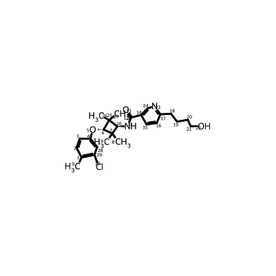 Cc1ccc(O[C@H]2C(C)(C)[C@H](NC(=O)c3ccc(CCCCO)nc3)C2(C)C)cc1Cl